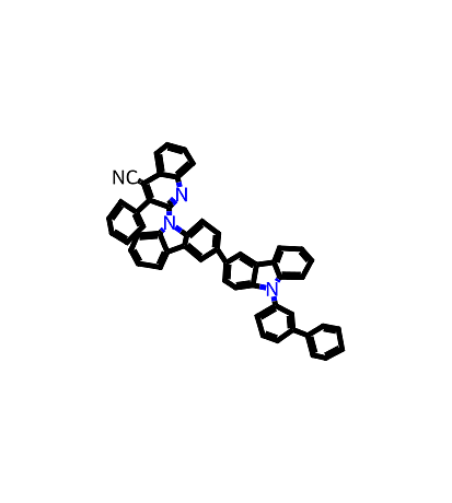 N#Cc1c(-c2ccccc2)c(-n2c3ccccc3c3cc(-c4ccc5c(c4)c4ccccc4n5-c4cccc(-c5ccccc5)c4)ccc32)nc2ccccc12